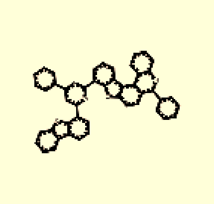 c1ccc(-c2cc(-c3cccc4c3oc3ccccc34)nc(-c3cccc4c3oc3ccc5c(-c6ccccc6)nc6ccccc6c5c34)n2)cc1